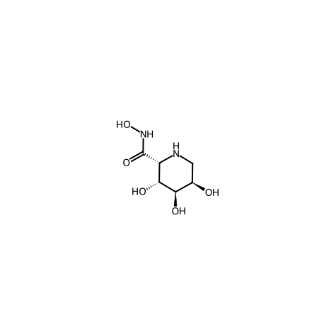 O=C(NO)[C@@H]1NC[C@@H](O)[C@@H](O)[C@@H]1O